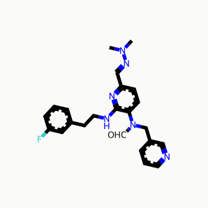 CN(C)N=Cc1ccc(N(C=O)Cc2cccnc2)c(NCCc2cccc(F)c2)n1